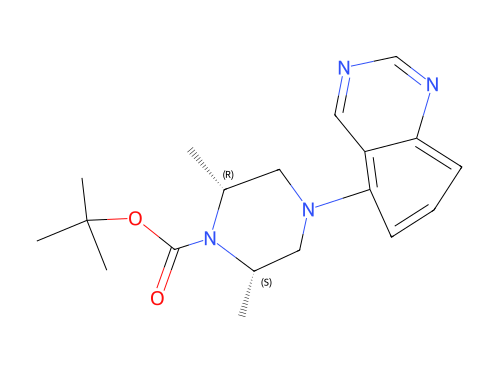 C[C@@H]1CN(c2cccc3ncncc23)C[C@H](C)N1C(=O)OC(C)(C)C